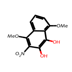 COc1c([N+](=O)[O-])c(O)c(O)c2c(OC)cccc12